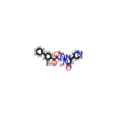 Cn1c(N2CCOC(C(=O)c3ccc(-c4ccccc4)cc3F)C2)nc(-c2ccncc2)cc1=O